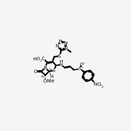 CO[C@@H]1C(=O)N2C(C(=O)O)=C(CSc3nnnn3C)C(NC=CC[S+]([O-])c3ccc([N+](=O)[O-])cc3)S[C@@H]12